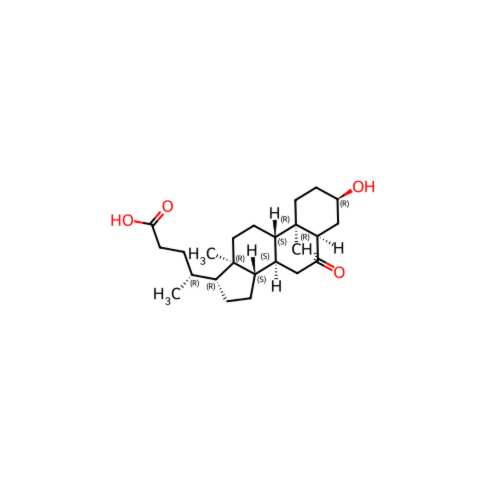 C[C@H](CCC(=O)O)[C@H]1CC[C@H]2[C@@H]3CC(=O)[C@@H]4C[C@H](O)CC[C@]4(C)[C@H]3CC[C@]12C